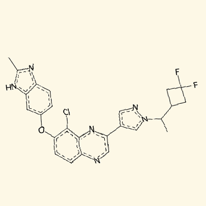 Cc1nc2ccc(Oc3ccc4ncc(-c5cnn(C(C)C6CC(F)(F)C6)c5)nc4c3Cl)cc2[nH]1